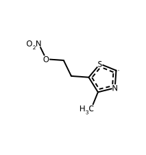 Cc1n[c]sc1CCO[N+](=O)[O-]